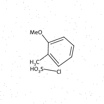 COc1ccccc1C.O=S(=O)(O)Cl